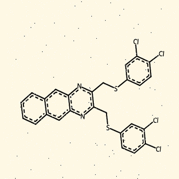 Clc1ccc(SCc2nc3cc4ccccc4cc3nc2CSc2ccc(Cl)c(Cl)c2)cc1Cl